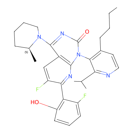 CCCCc1ccnc(C(C)C)c1-n1c(=O)nc(N2CCCC[C@@H]2C)c2cc(F)c(-c3c(O)cccc3F)nc21